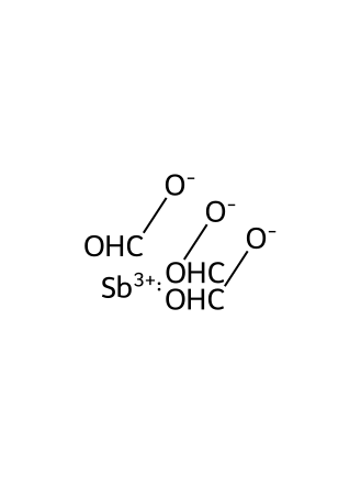 O=C[O-].O=C[O-].O=C[O-].[Sb+3]